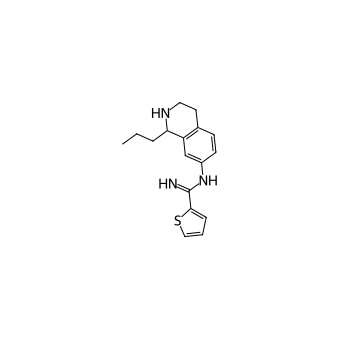 CCCC1NCCc2ccc(NC(=N)c3cccs3)cc21